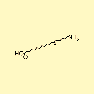 NCCCCCSCCCCCCCCCCCC(=O)O